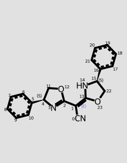 N#C/C(C1=N[C@@H](c2ccccc2)CO1)=C1/N[C@@H](c2ccccc2)CO1